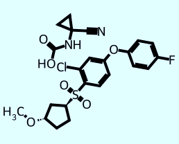 CO[C@H]1CC[C@H](S(=O)(=O)c2ccc(Oc3ccc(F)cc3)cc2Cl)C1.N#CC1(NC(=O)O)CC1